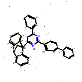 c1ccc(-c2ccc(-c3nc(-c4ccccc4)cc(C45CC(c6ccccc64)c4ccccc45)n3)cc2)cc1